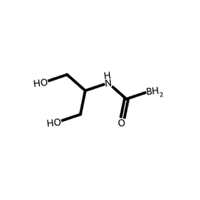 BC(=O)NC(CO)CO